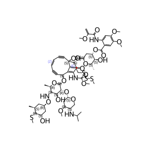 C=C(OC)C(=O)Nc1cc(OC)c(OC)cc1C(=O)O[C@H]1C[C@H](O[C@@H]2C(=O)C(NC(=O)OC)=C3/C(=C\CSSSC)[C@]2(O)C#C/C=C\C#C[C@@H]3O[C@@H]2O[C@H](C)[C@@H](NO[C@@H]3C[C@H](C)[C@@H](SC)[C@@H](O)C3)[C@H](O)[C@H]2O[C@H]2C[C@H](OC)[C@@H](NC(C)C)CO2)O[C@@H](C)[C@@H]1O